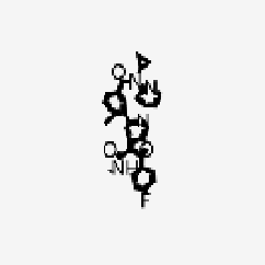 CNC(=O)c1c(-c2ccc(F)cc2)oc2cnc(-c3cc(C(=O)N(c4ccccn4)C4CC4)ccc3C)cc12